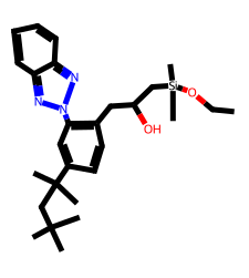 CCO[Si](C)(C)CC(O)Cc1ccc(C(C)(C)CC(C)(C)C)cc1-n1nc2ccccc2n1